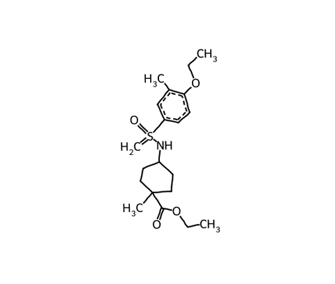 C=S(=O)(NC1CCC(C)(C(=O)OCC)CC1)c1ccc(OCC)c(C)c1